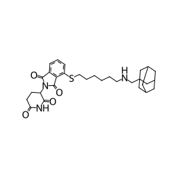 O=C1CCC(N2C(=O)c3cccc(SCCCCCCNCC45CC6CC(CC(C6)C4)C5)c3C2=O)C(=O)N1